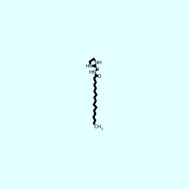 CCCCCCCCCCCCCCCCC(=O)NN=C1NCCN1